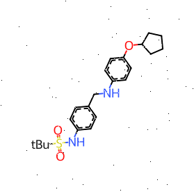 CC(C)(C)S(=O)(=O)Nc1ccc(CNc2ccc(OC3CCCC3)cc2)cc1